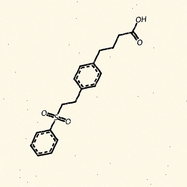 O=C(O)CCCc1ccc(CCS(=O)(=O)c2ccccc2)cc1